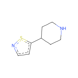 c1cc(C2CCNCC2)sn1